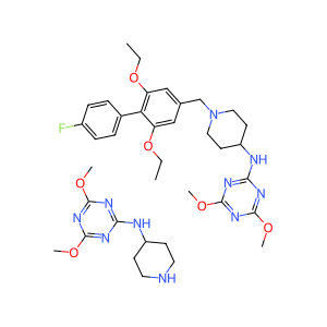 CCOc1cc(CN2CCC(Nc3nc(OC)nc(OC)n3)CC2)cc(OCC)c1-c1ccc(F)cc1.COc1nc(NC2CCNCC2)nc(OC)n1